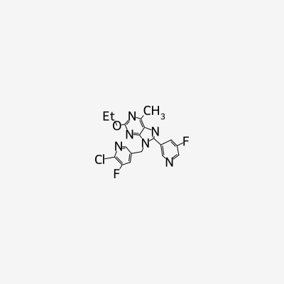 CCOc1nc(C)c2nc(-c3cncc(F)c3)n(Cc3cnc(Cl)c(F)c3)c2n1